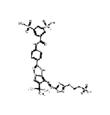 CC(C)(C)c1nn2nc(-c3ccc(NC(=O)c4cc(S(=O)(=O)O)cc(S(=O)(=O)O)c4)cc3)[nH]c2c1N=Nc1nc(SCCS(=O)(=O)O)ns1